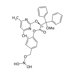 COC(c1ccccc1)(c1ccccc1)[C@H](Oc1nc(C)cc(C)n1)C(=O)Oc1ccc(CON(O)O)cc1